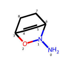 NN1OC2C=CC1CC2